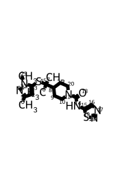 Cc1cc(SC(C)(C)C2CCN(C(=O)Nc3cnns3)CC2)n(C)n1